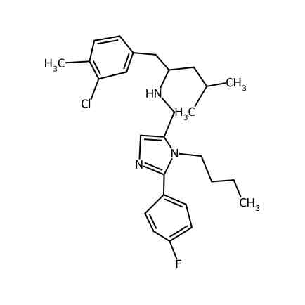 CCCCn1c(CNC(Cc2ccc(C)c(Cl)c2)CC(C)C)cnc1-c1ccc(F)cc1